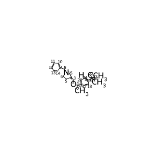 CC(OCC1CCN(Cc2ccccc2)C1)c1ccc(C(C)(C)C)cc1